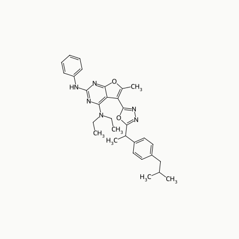 CCN(CC)c1nc(Nc2ccccc2)nc2oc(C)c(-c3nnc(C(C)c4ccc(CC(C)C)cc4)o3)c12